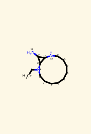 CCN1CCCCCCCCCNC2C(N)C21